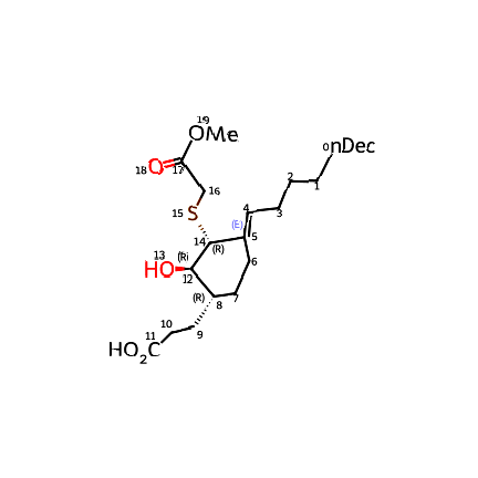 CCCCCCCCCCCCC/C=C1\CC[C@H](CCC(=O)O)[C@@H](O)[C@@H]1SCC(=O)OC